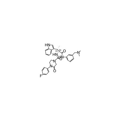 C[C@@H](c1c[nH]c2ccccc12)[C@@H](NC(=O)N1CCN(c2ccc(F)cc2)C(=O)C1)C(=O)Nc1cccc(CN(C)C)c1